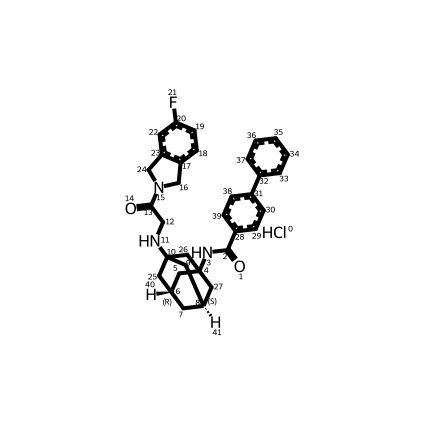 Cl.O=C(NC12C[C@@H]3C[C@@H](CC(NCC(=O)N4Cc5ccc(F)cc5C4)(C3)C1)C2)c1ccc(-c2ccccc2)cc1